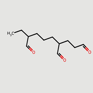 CCC(C=O)CCCC(C=O)CCC=O